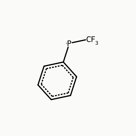 FC(F)(F)[P]c1ccccc1